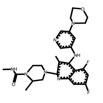 CNC(=O)N1CCN(c2nc3cc(F)cc(F)c3c(Nc3cncc(N4CCOCC4)c3)c2C)CC1C